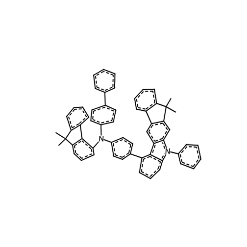 CC1(C)c2ccccc2-c2cc3c4c(-c5ccc(N(c6ccc(-c7ccccc7)cc6)c6cccc7c6-c6ccccc6C7(C)C)cc5)cccc4n(-c4ccccc4)c3cc21